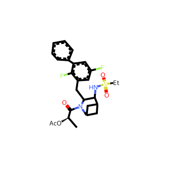 CCS(=O)(=O)NC1C2CC(C2)N(C(=O)[C@@H](C)OC(C)=O)C1Cc1cc(F)cc(-c2ccccc2)c1F